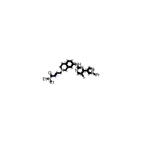 CCN(CC)C(=O)/C=C/CN1CCc2ccc(Nc3ncc(C)c(-c4cnn(C(C)C)c4)n3)cc2C1